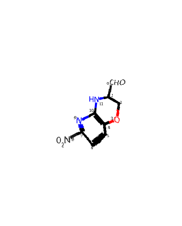 O=CC1COc2ccc([N+](=O)[O-])nc2N1